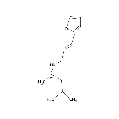 CC(C)C[C@H](C)NC/C=C/c1ccco1